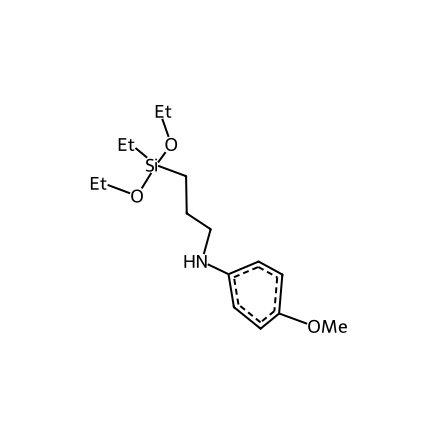 CCO[Si](CC)(CCCNc1ccc(OC)cc1)OCC